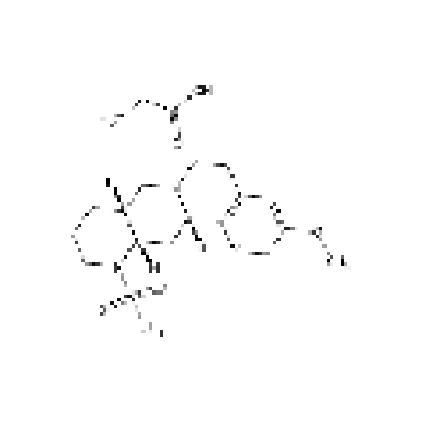 CCC(=O)O.COc1ccc2c(c1)CCN1C[C@H]3CCCN(S(C)(=O)=O)[C@H]3C[C@@H]21